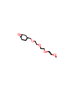 COCCOCCOCCOCC1CCC2OC2C1